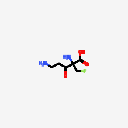 NCCC(=O)C(N)(CF)C(=O)O